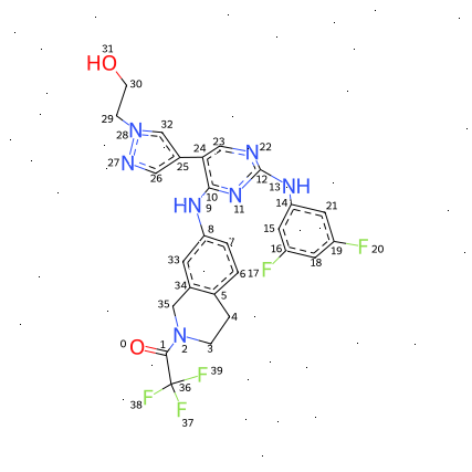 O=C(N1CCc2ccc(Nc3nc(Nc4cc(F)cc(F)c4)ncc3-c3cnn(CCO)c3)cc2C1)C(F)(F)F